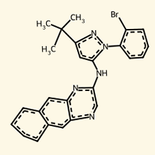 CC(C)(C)c1cc(Nc2cnc3cc4ccccc4cc3n2)n(-c2ccccc2Br)n1